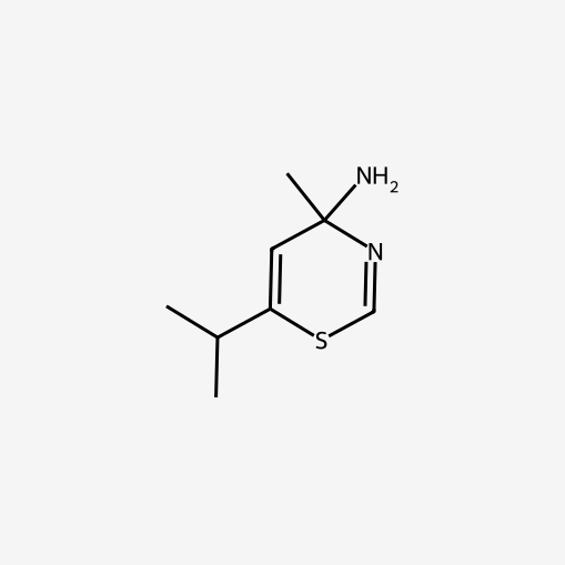 CC(C)C1=CC(C)(N)N=CS1